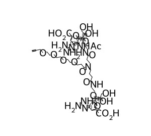 C#CCOCCOCCOCCOCCC(=O)N(CCCC(=O)NCCO[C@H]([C@H](O)CO)[C@H]1C[C@@H](N=C(N)N)C=C(C(=O)O)O1)CCC(=O)NCCO[C@@H]([C@@H]1OC(C(=O)O)=C[C@H](N=C(N)N)[C@H]1NC(C)=O)[C@H](O)CO